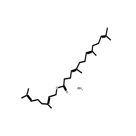 CC(C)=CCC/C(C)=C/CC/C(C)=C/CCC(=O)OC/C=C(\C)CCC=C(C)C.[AlH3]